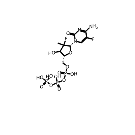 CC1(F)C(O)[C@@H](COP(=O)(O)OP(=O)(O)OP(=O)(O)O)O[C@H]1n1cc(F)c(N)nc1=O